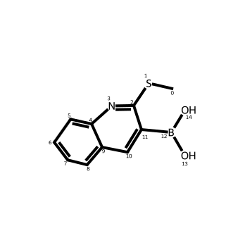 CSc1nc2ccccc2cc1B(O)O